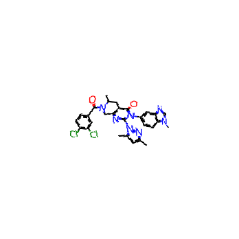 Cc1cc(C)n(-c2nc3c(c(=O)n2-c2ccc4c(c2)ncn4C)CC(C)N(C(=O)c2ccc(Cl)c(Cl)c2)C3)n1